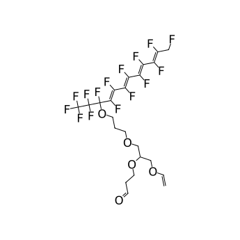 C=COCC(COCCCOC(F)(/C(F)=C(F)/C(F)=C(F)/C(F)=C(F)/C(F)=C(\F)CF)C(F)(F)C(F)(F)F)OCCC=O